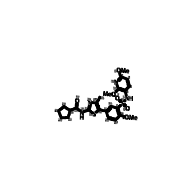 COc1ccc(NS(=O)(=O)c2cc(-c3sc(NC(=O)C4CCCC4)nc3C)ccc2OC)c(OC)n1